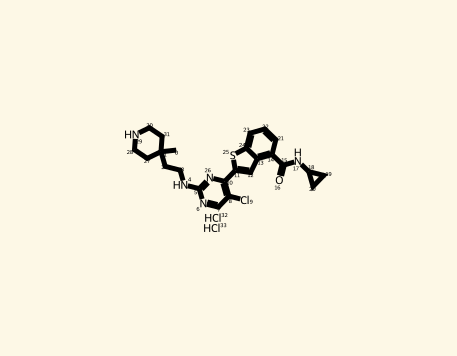 CC1(CCNc2ncc(Cl)c(-c3cc4c(C(=O)NC5CC5)cccc4s3)n2)CCNCC1.Cl.Cl